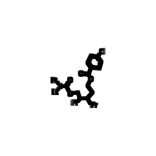 CCN(CC)C(=O)OCC(C(C)C)C(CCOC(=O)c1ccc(Cl)cc1)C(C)C